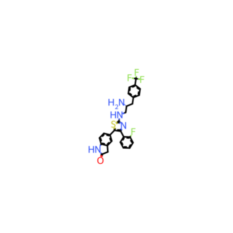 N[C@@H](CNc1nc(-c2ccccc2F)c(-c2ccc3c(c2)CC(=O)N3)s1)Cc1ccc(C(F)(F)F)cc1